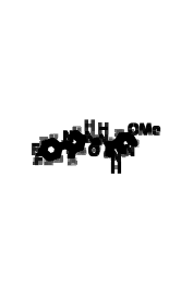 COc1cnc2[nH]cc(NC(=O)Nc3cnc(C4CCC(F)(F)CC4)c(C)c3)c2c1